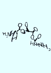 NNC(=O)OC(=O)C(=O)OC(=O)NN